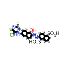 O=S(=O)(O)c1cccc2c(S(=O)(=O)O)c(/N=N/c3ccc4cc(Nc5nc(F)nc(F)c5Cl)ccc4c3O)ccc12